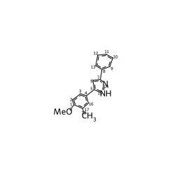 COc1ccc(-c2cc(-c3ccccc3)n[nH]2)cc1C